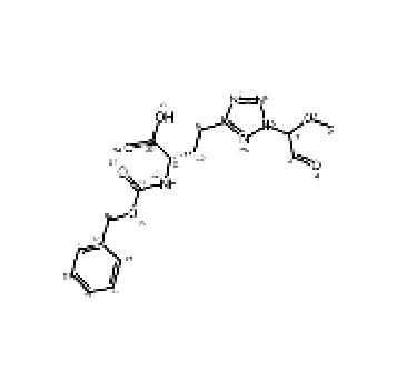 COC(C=O)n1nnc(CC[C@H](NC(=O)OCc2ccccc2)C(=O)O)n1